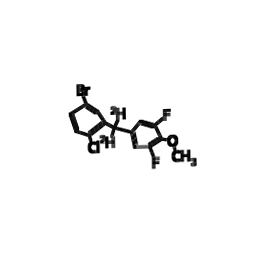 [2H]C([2H])(c1cc(F)c(OC)c(F)c1)c1cc(Br)ccc1Cl